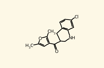 Cc1cc(C(=O)C2CNc3cc(Cl)ccc3C2)c(C)o1